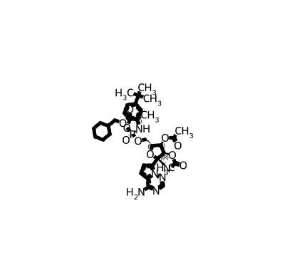 CC(=O)O[C@H]1[C@@H](OC(C)=O)[C@](C#N)(c2ccc3c(N)ncnn23)O[C@@H]1COP(=O)(N[C@@H](C)C(=O)OCC1CCCCC1)Oc1ccc(C(C)(C)C)cc1